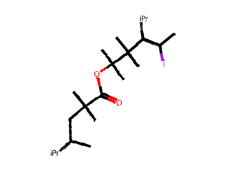 CC(C)C(C)CC(C)(C)C(=O)OC(C)(C)C(C)(C)C(C(C)C)C(C)I